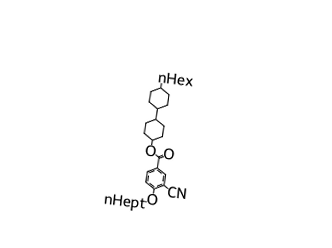 CCCCCCCOc1ccc(C(=O)OC2CCC(C3CCC(CCCCCC)CC3)CC2)cc1C#N